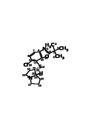 CC(C)(C)c1nc2ccc(Cl)c(S[C@H]3CCN4CCC[C@@H]34)c2o1